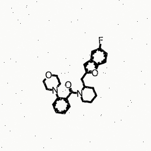 O=C(c1ccccc1N1CCOCC1)N1CCCCC1Cc1cc2cc(F)ccc2o1